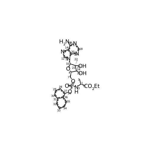 CCOC(=O)[C@H](C)NP(=O)(OC[C@H]1O[C@@H](n2cnc3c(N)ncnc32)[C@@](C)(O)C1O)Oc1cccc2ccccc12